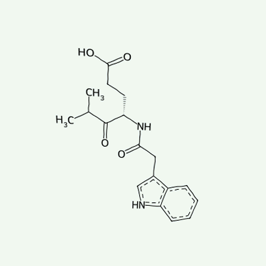 CC(C)C(=O)[C@H](CCC(=O)O)NC(=O)Cc1c[nH]c2ccccc12